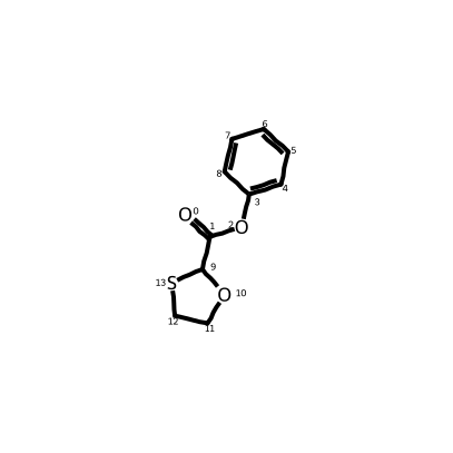 O=C(Oc1ccccc1)C1OCCS1